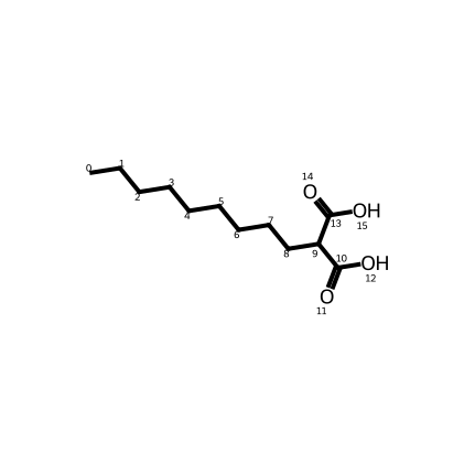 CCCCCCCCCC(C(=O)O)C(=O)O